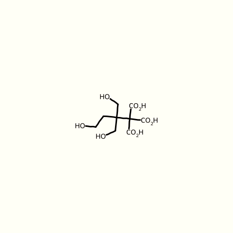 O=C(O)C(C(=O)O)(C(=O)O)C(CO)(CO)CCO